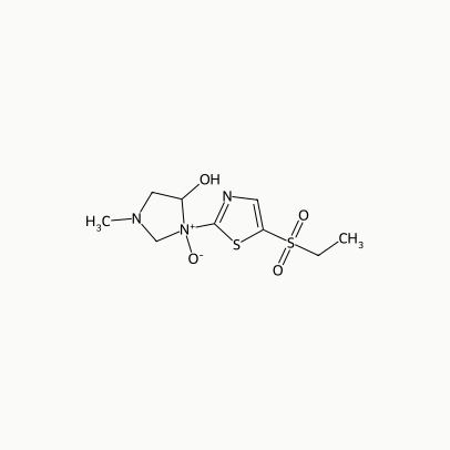 CCS(=O)(=O)c1cnc([N+]2([O-])CN(C)CC2O)s1